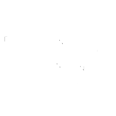 CC1(C)CCN(c2cnc(-c3cccc(F)c3)cn2)C(=O)C1